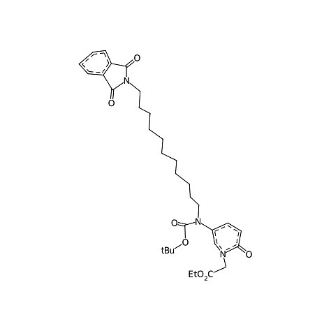 CCOC(=O)Cn1cc(N(CCCCCCCCCCCN2C(=O)c3ccccc3C2=O)C(=O)OC(C)(C)C)ccc1=O